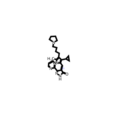 Cc1[nH]c(/C=C2/C(=O)NN=C2c2ncccn2)c(C2CC2)c1CCCCN1CCCC1